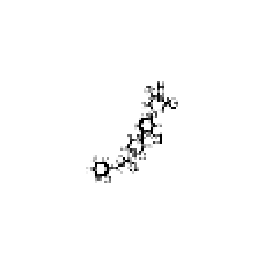 O=C1CC(c2ccc(N3CCN(C(=O)OCc4ccccc4)CC3)c(Cl)c2)CC(=O)N1